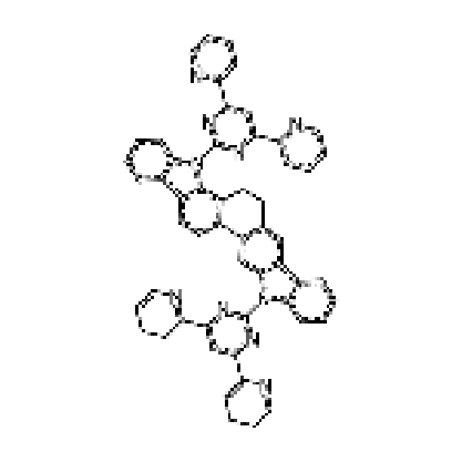 C1=CN=C(c2cc(C3=CCCC=N3)nc(-n3c4ccccc4c4cc5c(cc43)-c3ccc4c6ccccc6n(-c6nc(-c7ccccn7)cc(-c7ccccn7)n6)c4c3CC5)n2)CC1